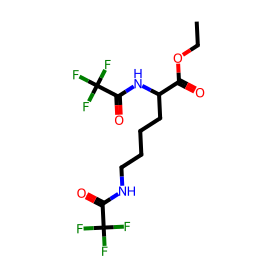 CCOC(=O)C(CCCCNC(=O)C(F)(F)F)NC(=O)C(F)(F)F